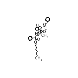 CCCCCCCCOC(=O)C(CCN[C@@H](C)C(=O)N1[C@H](C(=O)OCc2ccccc2)C[C@@H]2CCC[C@@H]21)c1ccccc1